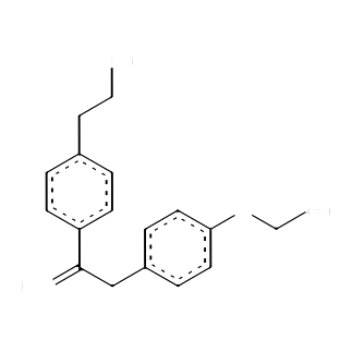 C=C(Cc1ccc(OCC(C)CC)cc1)c1ccc(CCC(C)CC)cc1